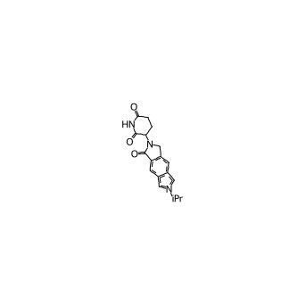 CC(C)n1cc2cc3c(cc2c1)C(=O)N(C1CCC(=O)NC1=O)C3